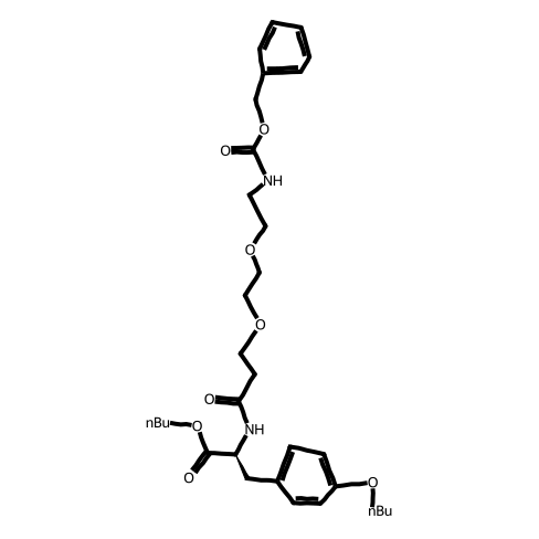 CCCCOC(=O)[C@H](Cc1ccc(OCCCC)cc1)NC(=O)CCOCCOCCNC(=O)OCc1ccccc1